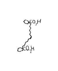 O=C(O)C1(CCCCC/C=C\CCCCCCC2(C(=O)O)CCCCC2)CCCCC1